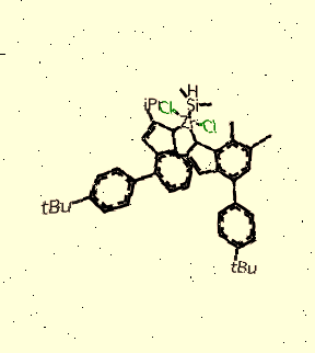 CC1=Cc2c(-c3ccc(C(C)(C)C)cc3)cc(C)c(C)c2[CH]1[Zr]([Cl])([Cl])([CH]1C(C(C)C)=Cc2c(-c3ccc(C(C)(C)C)cc3)cccc21)[SiH](C)C